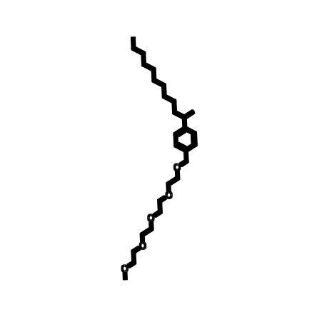 CCCCCCCCCCC(C)c1ccc(COCCOCCOCCOCCOC)cc1